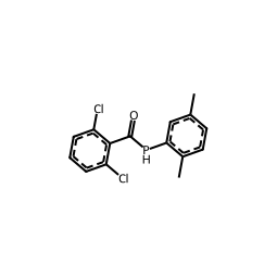 Cc1ccc(C)c(PC(=O)c2c(Cl)cccc2Cl)c1